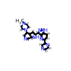 CN1CCN(c2cncc3[nH]c(-c4n[nH]c5ccc(-c6cnccn6)nc45)cc23)CC1